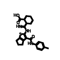 Cc1ccc(NC(=O)c2c(NC(=N)C3CCCCC3C(=O)O)sc3c2CCC3)cc1